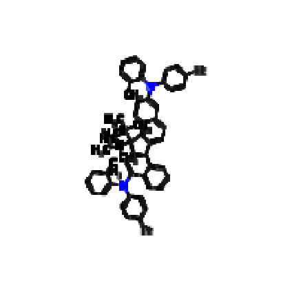 CCc1ccc(N(c2ccc3c4c(ccc3c2)-c2c(cc(N(c3ccc(CC)cc3)c3ccccc3C)c3ccccc23)C4([Si](C)(C)C)[Si](C)(C)C)c2ccccc2C)cc1